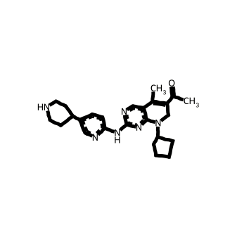 CC(=O)C1=C(C)c2cnc(Nc3ccc(C4CCNCC4)cn3)nc2N(C2CCCC2)C1